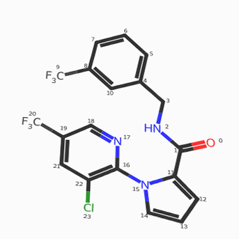 O=C(NCc1cccc(C(F)(F)F)c1)c1cccn1-c1ncc(C(F)(F)F)cc1Cl